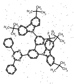 CC(C)(C)c1ccc2c(c1)c1cc(C(C)(C)C)ccc1n2-c1cc(-c2cc(-c3nc(-c4ccccc4)nc(-c4ccccc4)n3)ccc2-n2c3ccc(C(C)(C)C)cc3c3cc(C(C)(C)C)ccc32)cc(C(F)(F)F)c1